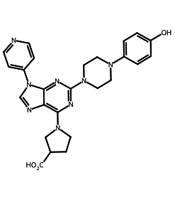 O=C(O)C1CCN(c2nc(N3CCN(c4ccc(O)cc4)CC3)nc3c2ncn3-c2ccncc2)C1